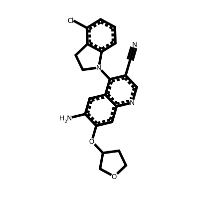 N#Cc1cnc2cc(OC3CCOC3)c(N)cc2c1N1CCc2c(Cl)cccc21